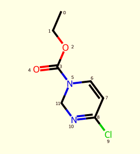 CCOC(=O)N1C=CC(Cl)=NC1